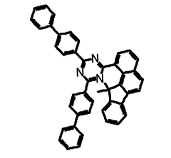 CC1(C)c2ccccc2-c2ccc3cccc(-c4nc(-c5ccc(-c6ccccc6)cc5)nc(-c5ccc(-c6ccccc6)cc5)n4)c3c21